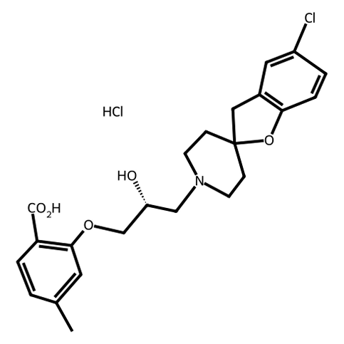 Cc1ccc(C(=O)O)c(OC[C@H](O)CN2CCC3(CC2)Cc2cc(Cl)ccc2O3)c1.Cl